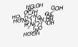 CN(CC(O)CO)C(=O)c1c(I)c(N)c(I)c(C(=O)N(C)CC(O)CO)c1I.CNc1c(I)c(C(=O)N(C)CC(O)CO)c(I)c(C(=O)N(C)CC(O)CO)c1I.O=C(O)CCSC(=O)O